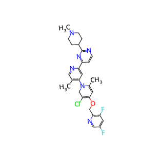 CC1=CC(OCc2ncc(F)cc2F)=C(Cl)CN1c1cc(-c2ccnc(C3CCN(C)CC3)n2)ncc1C